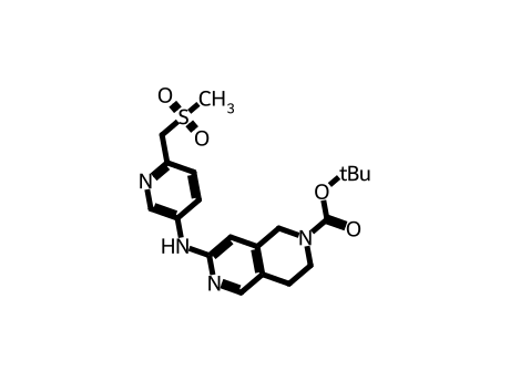 CC(C)(C)OC(=O)N1CCc2cnc(Nc3ccc(CS(C)(=O)=O)nc3)cc2C1